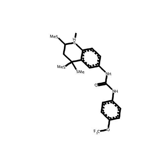 CSC1CC(SC)(SC)c2cc(NC(=O)Nc3ccc(OC(F)(F)F)cc3)ccc2[SH]1C